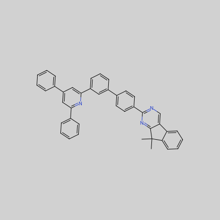 CC1(C)c2ccccc2-c2cnc(-c3ccc(-c4cccc(-c5cc(-c6ccccc6)cc(-c6ccccc6)n5)c4)cc3)nc21